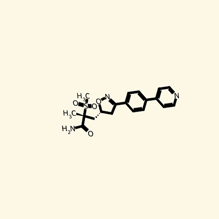 C[C@@](C[C@H]1CC(c2ccc(-c3ccncc3)cc2)=NO1)(C(N)=O)S(C)(=O)=O